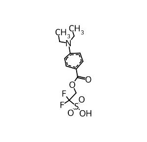 CCN(CC)c1ccc(C(=O)OCC(F)(F)S(=O)(=O)O)cc1